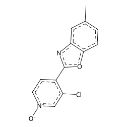 Cc1ccc2oc(-c3cc[n+]([O-])cc3Cl)nc2c1